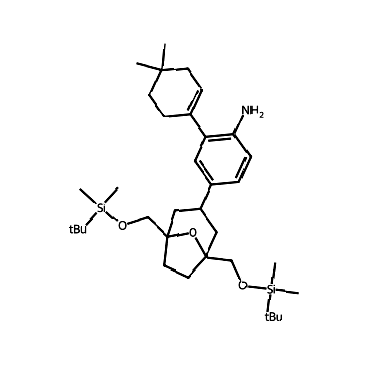 CC1(C)CC=C(c2cc(C3CC4(CO[Si](C)(C)C(C)(C)C)CCC(CO[Si](C)(C)C(C)(C)C)(C3)O4)ccc2N)CC1